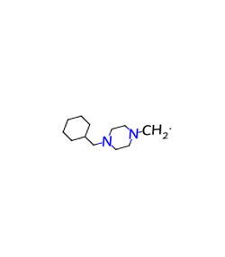 [CH2]N1CCN(CC2CCCCC2)CC1